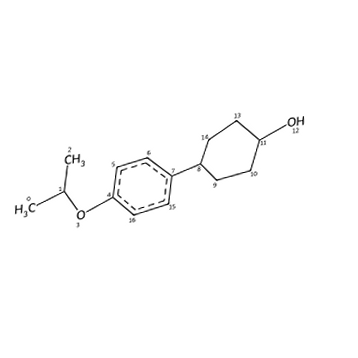 CC(C)Oc1ccc(C2CCC(O)CC2)cc1